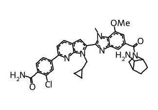 COc1cc(C(=O)N2CC3CCC2C3N)cc2nc(-c3cc4ccc(-c5ccc(C(N)=O)c(Cl)c5)nc4n3CC3CC3)n(C)c12